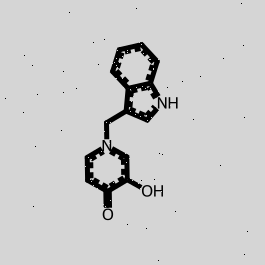 O=c1ccn(Cc2c[nH]c3ccccc23)cc1O